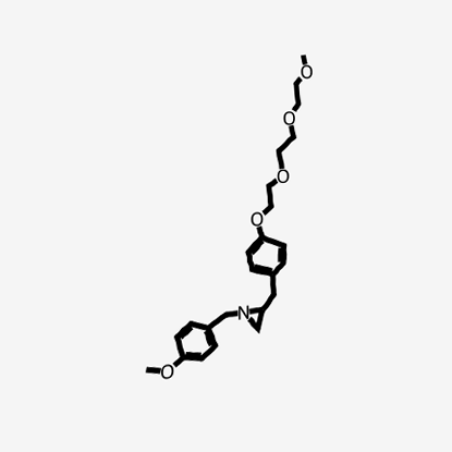 COCCOCCOCCOc1ccc(CC2CN2Cc2ccc(OC)cc2)cc1